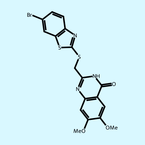 COc1cc2nc(CSc3nc4ccc(Br)cc4s3)[nH]c(=O)c2cc1OC